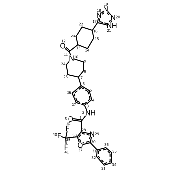 O=C(Nc1ccc(C2CCN(C(=O)C3CCC(c4nnn[nH]4)CC3)CC2)cc1)c1nc(-c2ccccc2)oc1C(F)(F)F